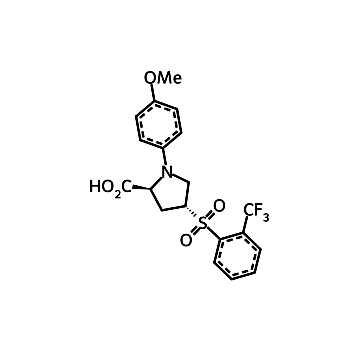 COc1ccc(N2C[C@H](S(=O)(=O)c3ccccc3C(F)(F)F)C[C@H]2C(=O)O)cc1